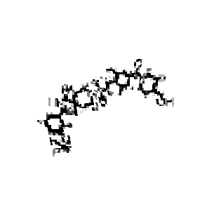 Cc1cc(C(=O)N2CCC(CO)CC2)cc(C)c1CCS(=O)(=O)N1CCC2(CC1)N=C(c1cccc(OC(F)(F)F)c1)NC2=O